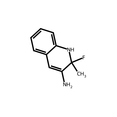 CC1(F)Nc2ccccc2C=C1N